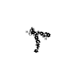 Nc1c(Cl)cc(C[C@@H](OC(=O)N2CCC(N3CCc4ccccc4NC3=O)CC2)C(=O)N2CCC(C3CCN(CC(=O)OCCN4CCCC4)CC3)CC2)cc1C(F)(F)F